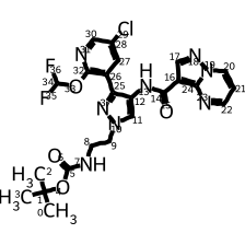 CC(C)(C)OC(=O)NCCn1cc(NC(=O)c2cnn3cccnc23)c(-c2cc(Cl)cnc2OC(F)F)n1